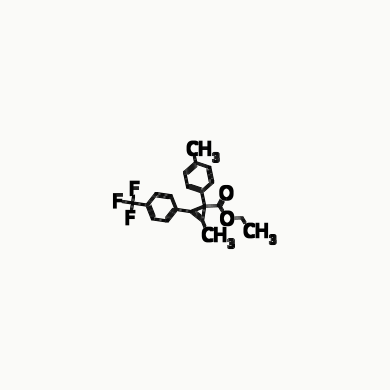 CCOC(=O)C1(c2ccc(C)cc2)C(C)=C1c1ccc(C(F)(F)F)cc1